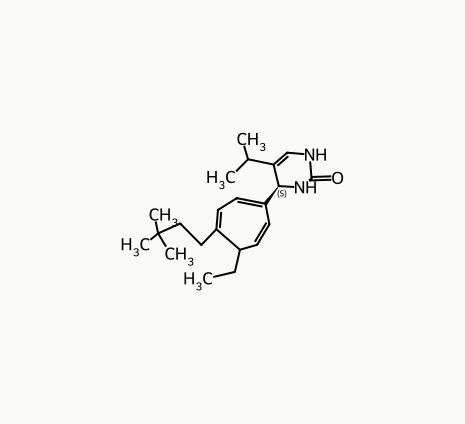 CCC1C=CC([C@@H]2NC(=O)NC=C2C(C)C)=CC=C1CCC(C)(C)C